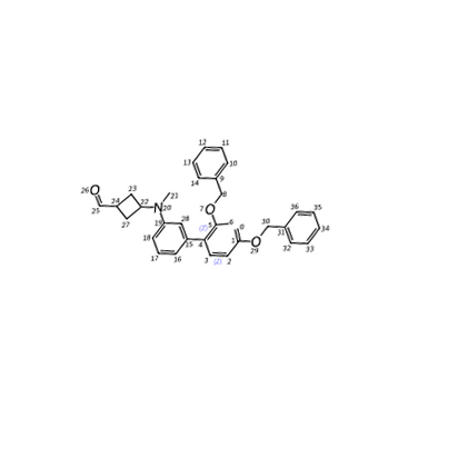 C=C(/C=C\C(=C(/C)OCc1ccccc1)c1cccc(N(C)C2CC(C=O)C2)c1)OCc1ccccc1